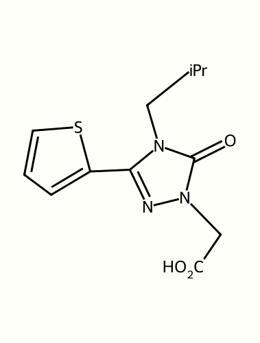 CC(C)Cn1c(-c2cccs2)nn(CC(=O)O)c1=O